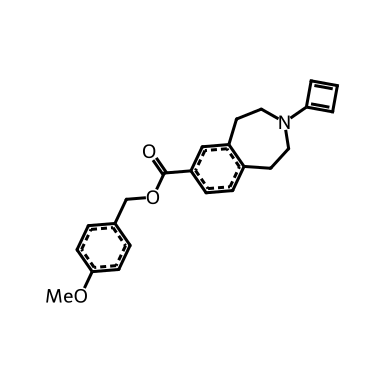 COc1ccc(COC(=O)c2ccc3c(c2)CCN(C2=CC=C2)CC3)cc1